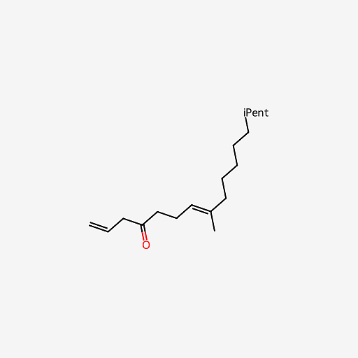 C=CCC(=O)CCC=C(C)CCCCCC(C)CCC